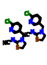 N#C/N=C1\SCCN1Cc1ccc(Cl)nc1.N#C/N=C1\SCCN1Cc1ccc(Cl)nc1